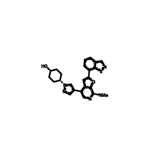 CNc1ncc(-c2cnn([C@H]3CC[C@H](O)CC3)c2)c2cc(-c3cccc4cnsc34)oc12